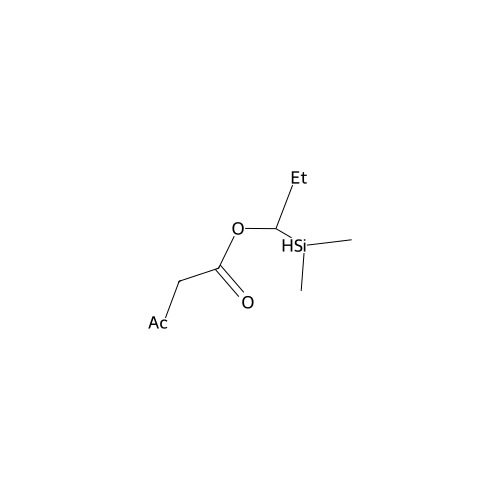 CCC(OC(=O)CC(C)=O)[SiH](C)C